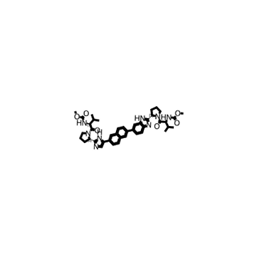 COC(=O)NC(C(=O)N1CCC[C@H]1c1nc2ccc(-c3ccc4cc(-c5cnc([C@@H]6CCCN6C(=O)[C@@H](NC(=O)OC)C(C)C)[nH]5)ccc4c3)cc2[nH]1)C(C)C